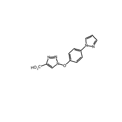 O=C(O)c1cn(Oc2ccc(-n3cccn3)cc2)nn1